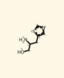 NC(CO)Cc1cncs1